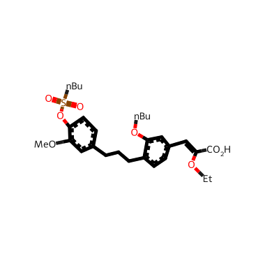 CCCCOc1cc(/C=C(\OCC)C(=O)O)ccc1CCCc1ccc(OS(=O)(=O)CCCC)c(OC)c1